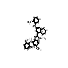 Cc1cc(Nc2c(C(C)C)cccc2C(C)C)c2nc(-c3cc(Nc4ccccc4C)cc4c3CCCC4)n(C)c2c1